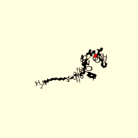 CC[C@H](C)C(NC(=O)C1CCCCN1C)C(=O)N(C)[C@H](C[C@@H](OC(C)=O)c1nc(C(=O)N[C@@H](Cc2ccc(F)cc2)C[C@H](C)C(=O)NNC(=O)OCCSSCCCCCCCCCCCN)cs1)C(C)C